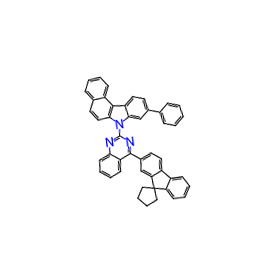 c1ccc(-c2ccc3c4c5ccccc5ccc4n(-c4nc(-c5ccc6c(c5)C5(CCCC5)c5ccccc5-6)c5ccccc5n4)c3c2)cc1